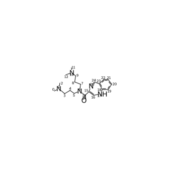 CN(C)CCCN(CCCN(C)C)C(=O)C1=CNc2ccccc2C=N1